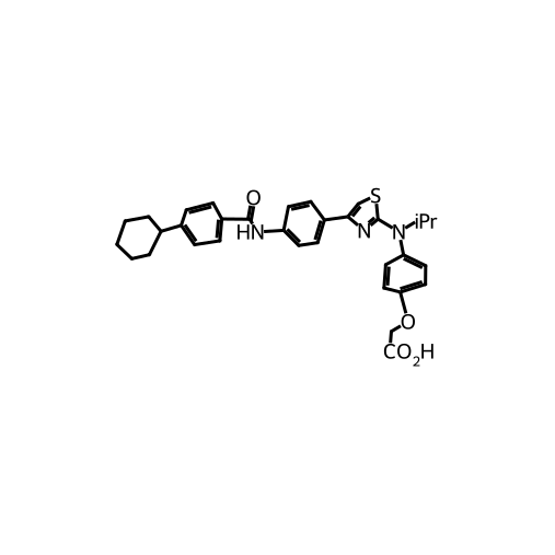 CC(C)N(c1ccc(OCC(=O)O)cc1)c1nc(-c2ccc(NC(=O)c3ccc(C4CCCCC4)cc3)cc2)cs1